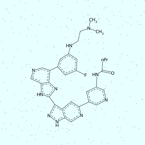 CCCC(=O)Nc1cncc(-c2cc3c(-c4nc5c(-c6cc(F)cc(NCCN(C)C)c6)cncc5[nH]4)n[nH]c3cn2)c1